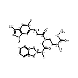 CCc1nn(C)c2cc(NCC(=O)N(CCN(CC)C(=O)OC(C)(C)C)CC(=O)N(C)N3Cc4ccccc4C3)c(C)cc12